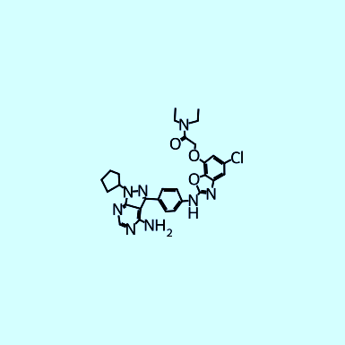 CCN(CC)C(=O)COc1cc(Cl)cc2nc(Nc3ccc(-c4nn(C5CCCC5)c5ncnc(N)c45)cc3)oc12